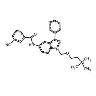 C[Si](C)(C)CCOCn1nc(-c2cccnc2)c2cc(NC(=O)c3cccc(C#N)c3)ccc21